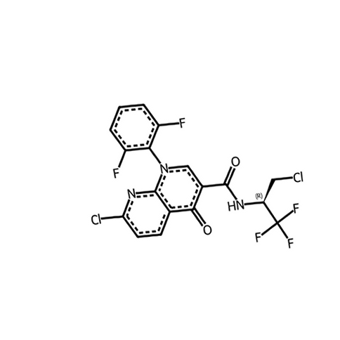 O=C(N[C@@H](CCl)C(F)(F)F)c1cn(-c2c(F)cccc2F)c2nc(Cl)ccc2c1=O